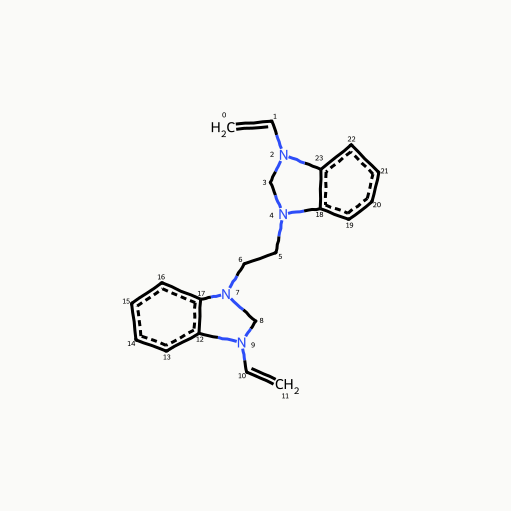 C=CN1CN(CCN2CN(C=C)c3ccccc32)c2ccccc21